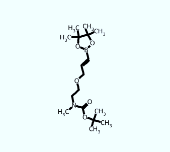 CN(CCOC/C=C/B1OC(C)(C)C(C)(C)O1)C(=O)OC(C)(C)C